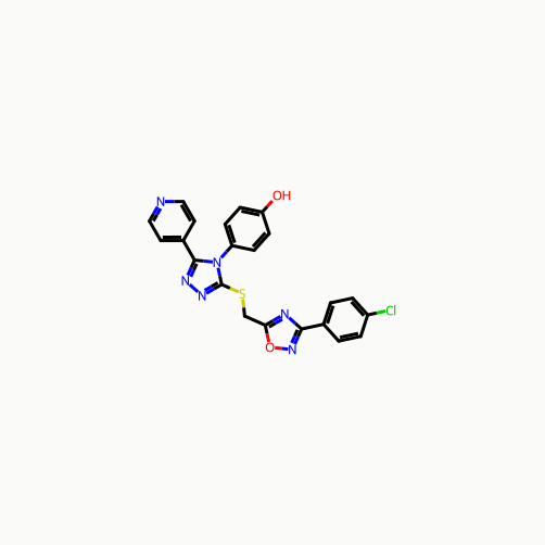 Oc1ccc(-n2c(SCc3nc(-c4ccc(Cl)cc4)no3)nnc2-c2ccncc2)cc1